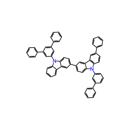 c1ccc(-c2cccc(-n3c4ccc(-c5ccccc5)cc4c4cc(-c5ccc6c(c5)c5ccccc5n6-c5cc(-c6ccccc6)cc(-c6ccccc6)c5)ccc43)c2)cc1